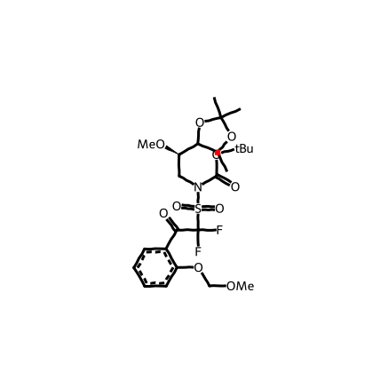 COCOc1ccccc1C(=O)C(F)(F)S(=O)(=O)N(C[C@@H](OC)C1OC(C)(C)OC1C)C(=O)OC(C)(C)C